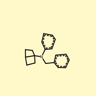 c1ccc(CN(c2ccccc2)C23CCC2CC3)cc1